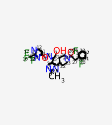 Cc1ncc(/C(CO)=N\Oc2ccnc(C(F)(F)F)n2)c(C2CCN(C(=O)Cc3c(F)cccc3F)CC2)n1